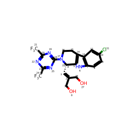 OCC(=C[C@H]1c2[nH]c3ccc(Cl)cc3c2CCN1c1nc(C(F)(F)F)nc(C(F)(F)F)n1)CO